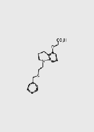 O=C(O)COc1cccc2c1CCCN2CCSCc1ccccc1